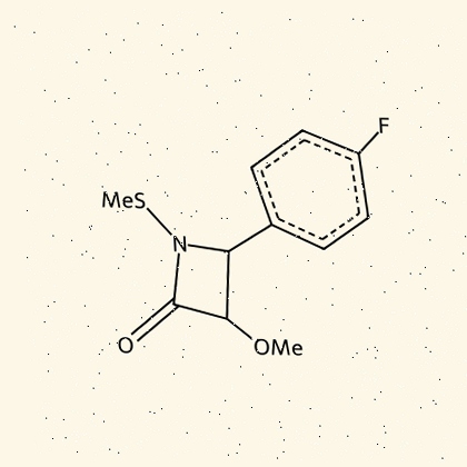 COC1C(=O)N(SC)C1c1ccc(F)cc1